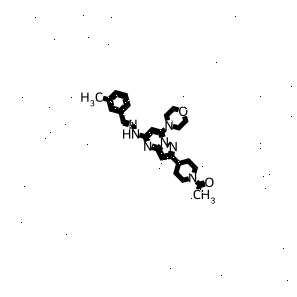 CC(=O)N1CCC(c2cc3nc(N/N=C/c4cccc(C)c4)cc(N4CCOCC4)n3n2)CC1